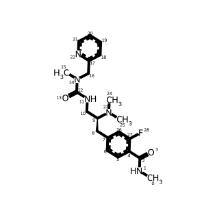 CNC(=O)c1ccc(C[C@@H](CNC(=O)N(C)Cc2ccccn2)N(C)C)cc1F